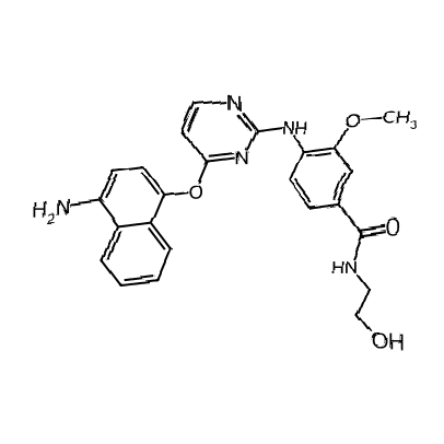 COc1cc(C(=O)NCCO)ccc1Nc1nccc(Oc2ccc(N)c3ccccc23)n1